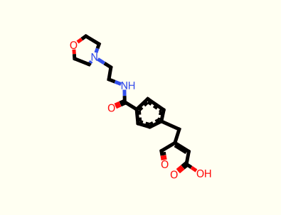 O=CC(=CC(=O)O)Cc1ccc(C(=O)NCCN2CCOCC2)cc1